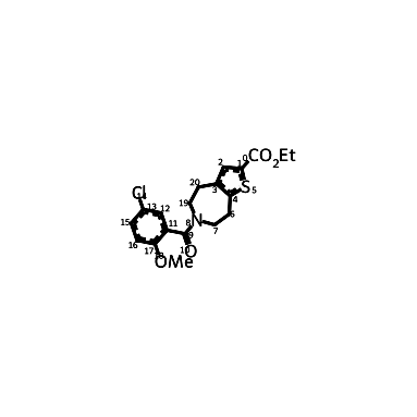 CCOC(=O)c1cc2c(s1)CCN(C(=O)c1cc(Cl)ccc1OC)CC2